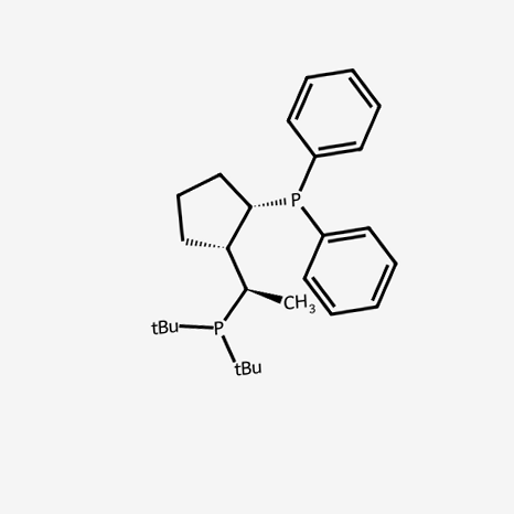 C[C@H]([C@@H]1CCC[C@@H]1P(c1ccccc1)c1ccccc1)P(C(C)(C)C)C(C)(C)C